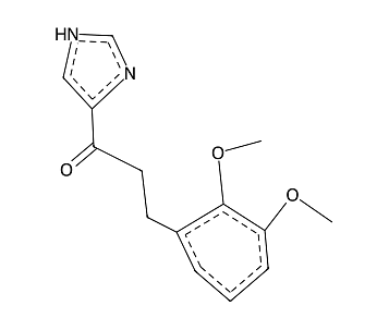 COc1cccc(CCC(=O)c2c[nH]cn2)c1OC